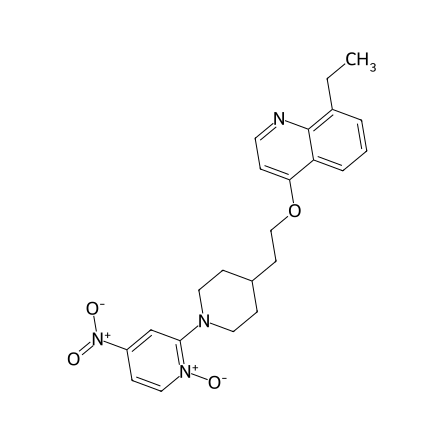 CCc1cccc2c(OCCC3CCN(c4cc([N+](=O)[O-])cc[n+]4[O-])CC3)ccnc12